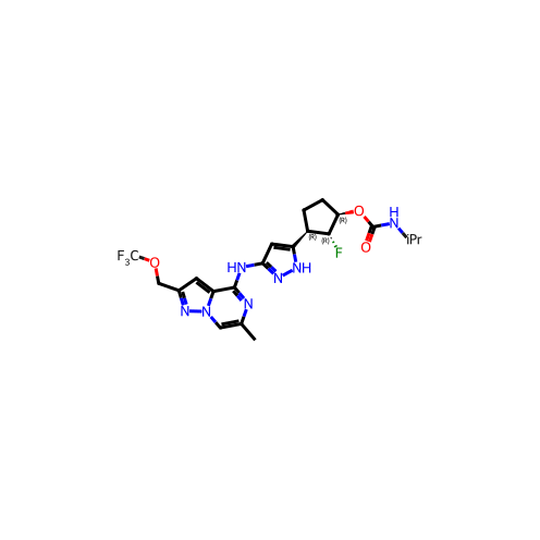 Cc1cn2nc(COC(F)(F)F)cc2c(Nc2cc([C@H]3CC[C@@H](OC(=O)NC(C)C)[C@@H]3F)[nH]n2)n1